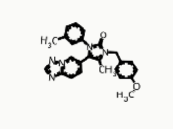 COc1ccc(Cn2c(C)c(-c3ccc4ncnn4c3)n(-c3cccc(C)c3)c2=O)cc1